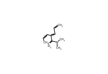 C=C/C=C(\C=C/C)C(=C)N(C)C